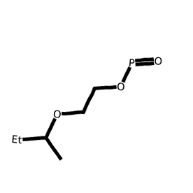 CCC(C)OCCOP=O